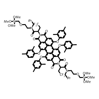 CO[Si](COCCN(CC(C)C)C(=O)C(CC(F)(F)F)N1C(=O)c2cc(Oc3ccc(C)cc3C)c3c4c(Oc5ccc(C)cc5C)cc5c6c(cc(Oc7ccc(C)cc7C)c(c7c(Oc8ccc(C)cc8C)cc(c2c37)C1=O)c64)C(=O)N(C(CC(F)(F)F)C(=O)N(CCOC[Si](OC)(OC)OC)CC(C)C)C5=O)(OC)OC